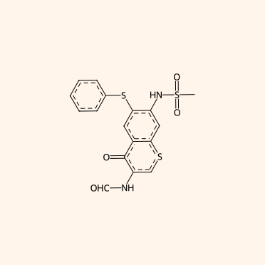 CS(=O)(=O)Nc1cc2scc(NC=O)c(=O)c2cc1Sc1ccccc1